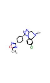 Cc1nc([C@H]2CC[C@H](c3nnc4n3-c3ccc(Cl)cc3CN(C(C)C)C4)CC2)no1